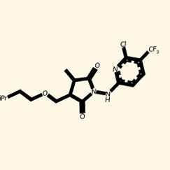 CC(C)CCOCC1C(=O)N(Nc2ccc(C(F)(F)F)c(Cl)n2)C(=O)C1C